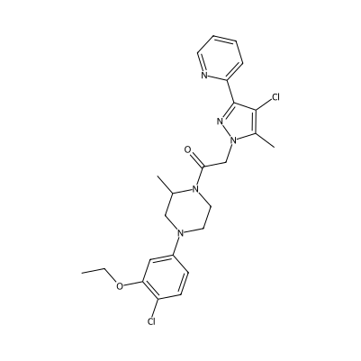 CCOc1cc(N2CCN(C(=O)Cn3nc(-c4ccccn4)c(Cl)c3C)C(C)C2)ccc1Cl